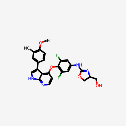 CC(C)Oc1ccc(-c2c[nH]c3nccc(Oc4c(F)cc(NC5=NC(CO)CO5)cc4F)c23)cc1C#N